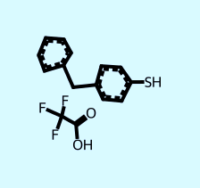 O=C(O)C(F)(F)F.Sc1ccc(Cc2ccccc2)cc1